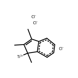 CC1=C(C)[C](C)([Ti+3])c2ccccc21.[Cl-].[Cl-].[Cl-]